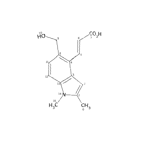 Cc1cc2c(/C=C/C(=O)O)c(CO)ccc2n1C